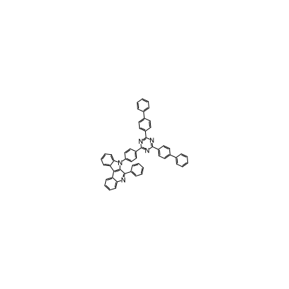 c1ccc(-c2ccc(-c3nc(-c4ccc(-c5ccccc5)cc4)nc(-c4ccc(-n5c6ccccc6c6c7ccccc7nc(-c7ccccc7)c65)cc4)n3)cc2)cc1